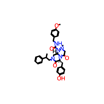 COc1ccc(CNC(=O)N2[C@H]3CN(CC(C)c4ccccc4)C(=O)[C@H](Cc4ccc(O)cc4)N3C(=O)CN2C)cc1